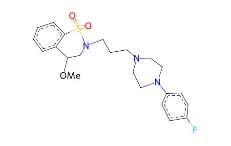 COC1CN(CCCN2CCN(c3ccc(F)cc3)CC2)S(=O)(=O)c2ccccc21